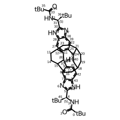 CC(C)(C)C(=O)N[C@H](c1nc2cc([C@@H]3CC4CCC3CCC3CCC(CC4)[C@H](c4ccc5[nH]c([C@@H](NC(=O)C(C)(C)C)C(C)(C)C)nc5c4)C3)ccc2[nH]1)C(C)(C)C